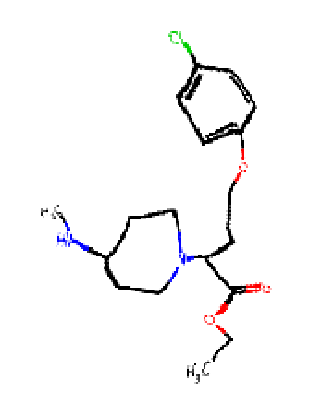 CCOC(=O)C(CCOc1ccc(Cl)cc1)N1CCC(NC)CC1